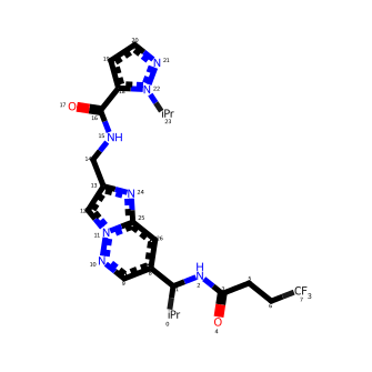 CC(C)C(NC(=O)CCC(F)(F)F)c1cnn2cc(CNC(=O)c3ccnn3C(C)C)nc2c1